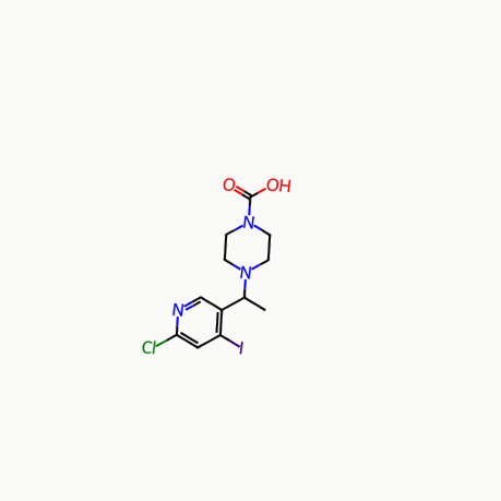 CC(c1cnc(Cl)cc1I)N1CCN(C(=O)O)CC1